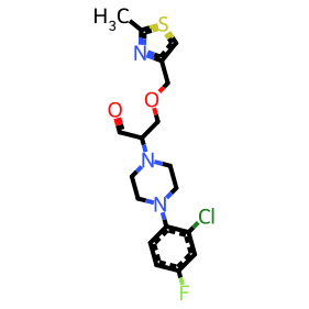 Cc1nc(COCC(C=O)N2CCN(c3ccc(F)cc3Cl)CC2)cs1